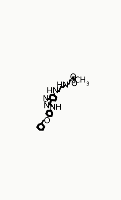 CS(=O)(=O)CCNCCCNc1ccc2c(Nc3ccc(OCc4ccccc4)cc3)ncnc2c1